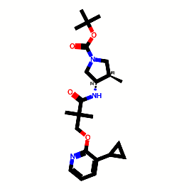 C[C@@H]1CN(C(=O)OC(C)(C)C)C[C@H]1NC(=O)C(C)(C)COc1ncccc1C1CC1